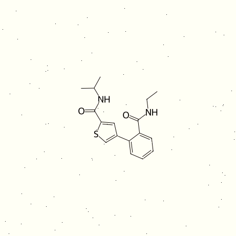 CCNC(=O)c1ccccc1-c1csc(C(=O)NC(C)C)c1